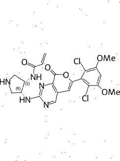 C=CC(=O)N[C@H]1CNC[C@H]1Nc1ncc2cc(-c3c(Cl)c(OC)cc(OC)c3Cl)oc(=O)c2n1